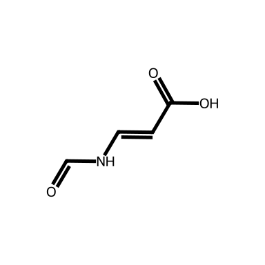 O=CN/C=C/C(=O)O